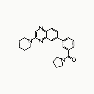 O=C(c1cccc(-c2ccc3ncc(N4CCCCC4)nc3c2)c1)N1CCCC1